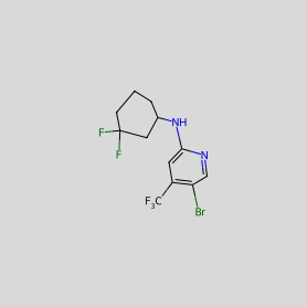 FC1(F)CCCC(Nc2cc(C(F)(F)F)c(Br)cn2)C1